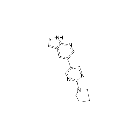 c1cc2cc(-c3cnc(N4CCCC4)nc3)cnc2[nH]1